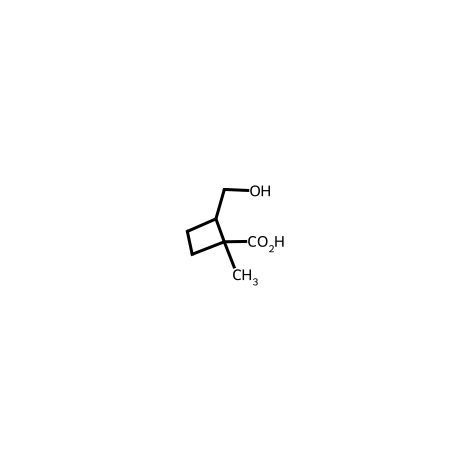 CC1(C(=O)O)CCC1CO